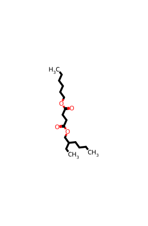 CCCCCCOC(=O)CCC(=O)OCC(CC)CCCC